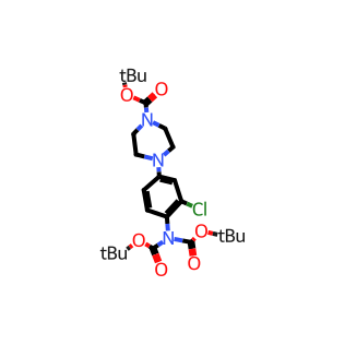 CC(C)(C)OC(=O)N1CCN(c2ccc(N(C(=O)OC(C)(C)C)C(=O)OC(C)(C)C)c(Cl)c2)CC1